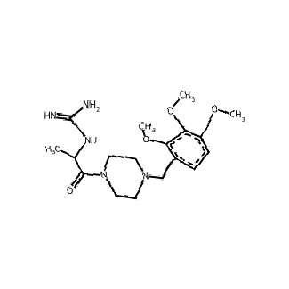 COc1ccc(CN2CCN(C(=O)C(C)NC(=N)N)CC2)c(OC)c1OC